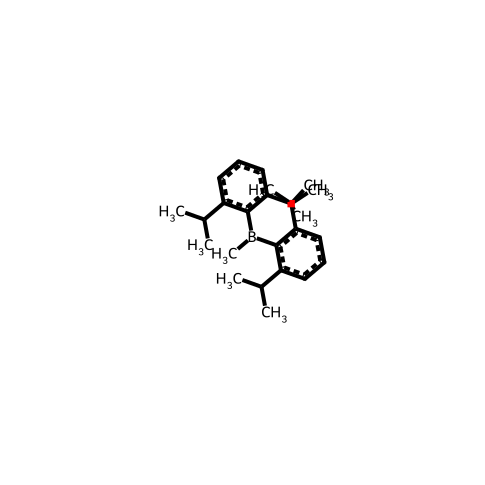 CB(c1c(C(C)C)cccc1C(C)C)c1c(C(C)C)cccc1C(C)C